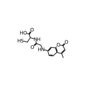 Cc1cc(=O)oc2cc(NCC(=O)NC(CS)C(=O)O)ccc12